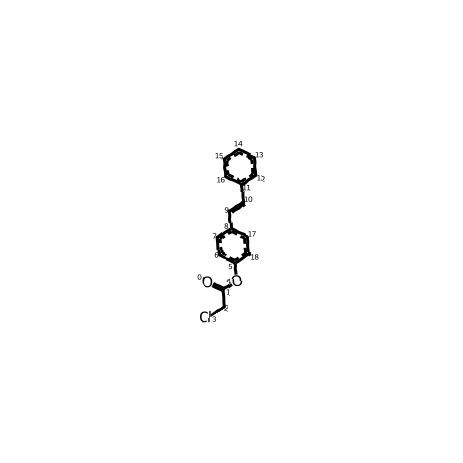 O=C(CCl)Oc1ccc(/C=C/c2ccccc2)cc1